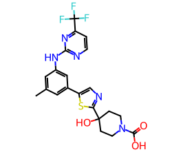 Cc1cc(Nc2nccc(C(F)(F)F)n2)cc(-c2cnc(C3(O)CCN(C(=O)O)CC3)s2)c1